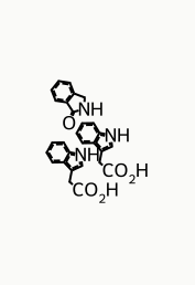 O=C(O)Cc1c[nH]c2ccccc12.O=C(O)Cc1c[nH]c2ccccc12.O=C1NCc2ccccc21